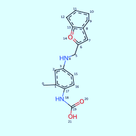 Cc1cc(NCc2cc3ccccc3o2)ccc1NC(=O)O